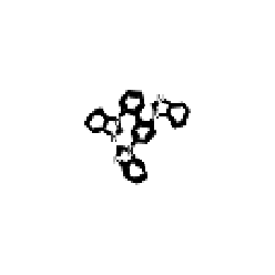 c1ccc(-n2cnc3ccccc32)c(-c2cc(-n3cnc4ccccc43)ccc2-n2cnc3ccccc32)c1